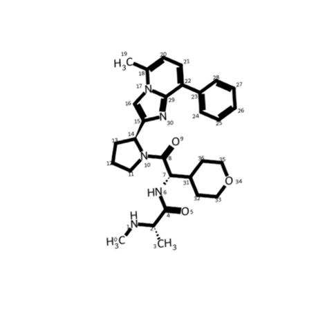 CN[C@@H](C)C(=O)N[C@H](C(=O)N1CCC[C@H]1c1cn2c(C)ccc(-c3ccccc3)c2n1)C1CCOCC1